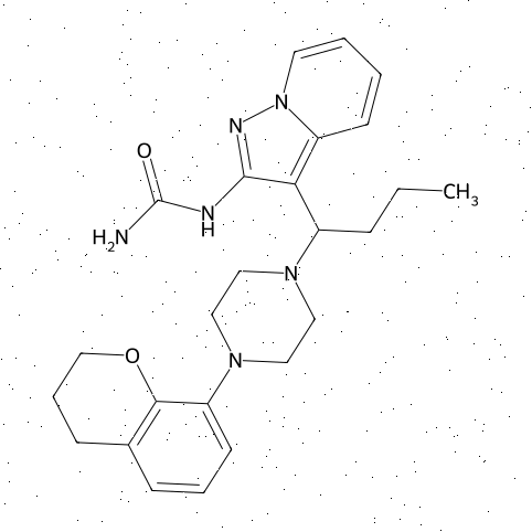 CCCC(c1c(NC(N)=O)nn2ccccc12)N1CCN(c2cccc3c2OCCC3)CC1